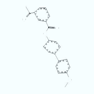 COc1ccc(-c2ccc(OC(=O)c3cccc(C(C)=O)c3)cc2)cc1